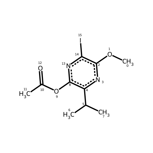 COc1nc(C(C)C)c(OC(C)=O)nc1I